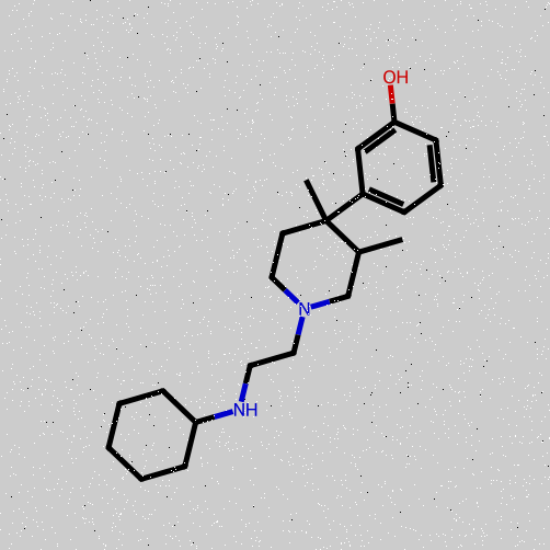 CC1CN(CCNC2CCCCC2)CCC1(C)c1cccc(O)c1